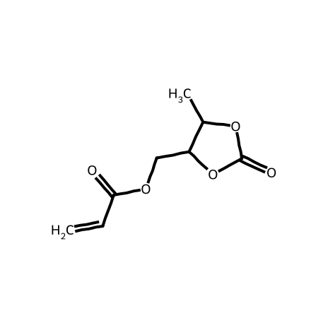 C=CC(=O)OCC1OC(=O)OC1C